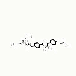 CCOP(=O)(NN=Cc1ccc(C(=O)N[C@@H](C)C(=O)c2ccc(OCC(=O)O)cc2)cc1)OCC